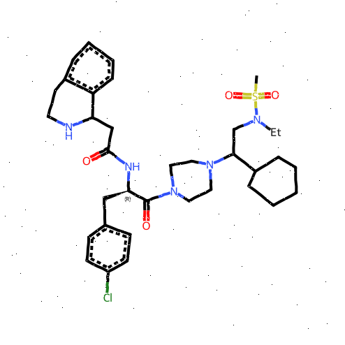 CCN(CC(C1CCCCC1)N1CCN(C(=O)[C@@H](Cc2ccc(Cl)cc2)NC(=O)CC2NCCc3ccccc32)CC1)S(C)(=O)=O